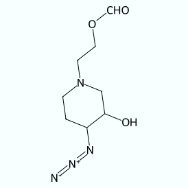 [N-]=[N+]=NC1CCN(CCOC=O)CC1O